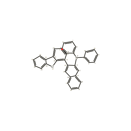 c1ccc(N(c2ccccc2)c2cc3ccccc3cc2-c2cccc3c2oc2ccccc23)cc1